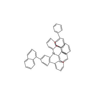 c1ccc(-c2ccc(-c3ccccc3N(c3ccccc3-c3ccccc3)c3cc(-c4cccc5ccccc45)ccc3-c3ccccc3)cc2)cc1